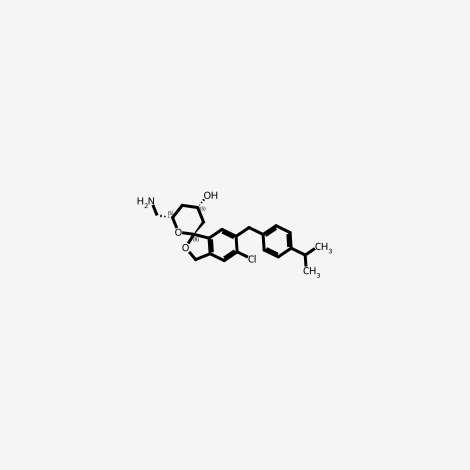 CC(C)c1ccc(Cc2cc3c(cc2Cl)CO[C@@]32C[C@@H](O)C[C@@H](CN)O2)cc1